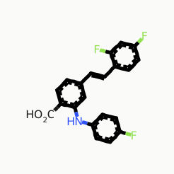 O=C(O)c1ccc(C=Cc2ccc(F)cc2F)cc1Nc1ccc(F)cc1